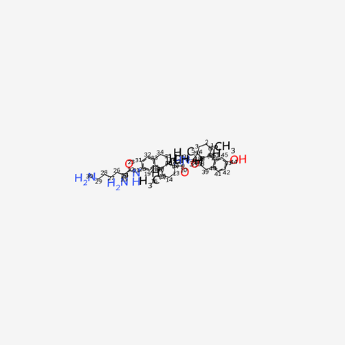 C[C@H]1CC[C@](C)(C(=O)NC(=O)[C@@]2(C)CC[C@H](C)[C@@H]3c4cc(NC(=O)[C@@H](N)CCCCN)ccc4CC[C@H]32)[C@@H]2CCc3ccc(O)cc3[C@H]21